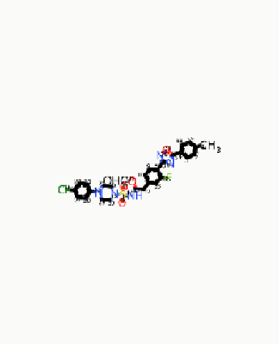 Cc1ccc(-c2nc(-c3ccc(CC(NS(=O)(=O)N4CCN(c5ccc(Cl)cc5)CC4)OC=O)cc3F)no2)cc1